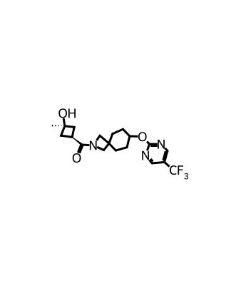 C[C@]1(O)C[C@@H](C(=O)N2CC3(CCC(Oc4ncc(C(F)(F)F)cn4)CC3)C2)C1